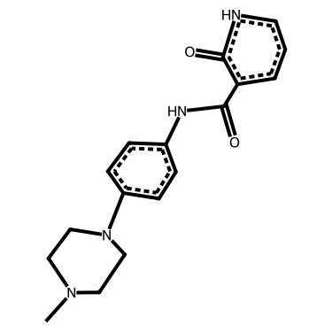 CN1CCN(c2ccc(NC(=O)c3ccc[nH]c3=O)cc2)CC1